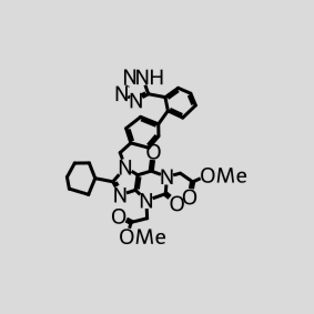 COC(=O)Cn1c(=O)c2c(nc(C3CCCCC3)n2Cc2ccc(-c3ccccc3-c3nnn[nH]3)cc2)n(CC(=O)OC)c1=O